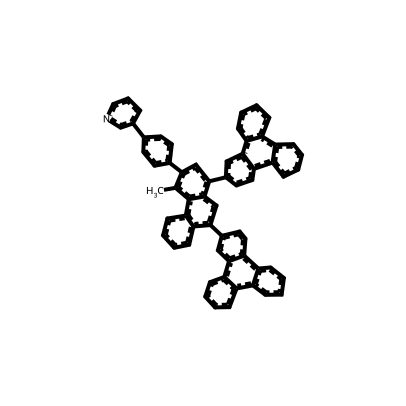 Cc1c(-c2ccc(-c3cccnc3)cc2)cc(-c2ccc3c4ccccc4c4ccccc4c3c2)c2cc(-c3ccc4c5ccccc5c5ccccc5c4c3)c3ccccc3c12